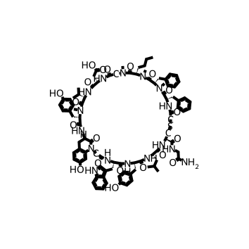 CCCC[C@H]1C(=O)N(C)CC(=O)N[C@@H](CC(=O)O)C(=O)N[C@@H](C(C)C)C(=O)N(C)[C@@H](Cc2ccc(O)cc2)C(=O)N[C@H]2Cc3ccc(O)cc3N(CC(=O)N[C@@H](Cc3c[nH]c4ccccc34)C(=O)N[C@@H](Cc3ccc(O)cc3)C(=O)N[C@@H](CC(C)C)C(=O)N[C@H](C(=O)NCC(N)=O)CSCC(=O)N[C@@H](Cc3ccccc3)C(=O)N(C)[C@@H](Cc3ccccc3)C(=O)N1C)C2=O